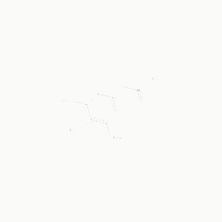 COC(=O)Cc1cc(OC)c(OC)c(OC)c1